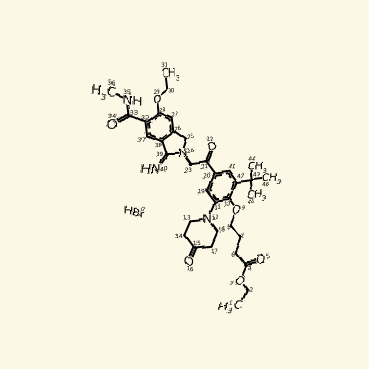 Br.CCOC(=O)CCCOc1c(N2CCC(=O)CC2)cc(C(=O)CN2Cc3cc(OCC)c(C(=O)NC)cc3C2=N)cc1C(C)(C)C